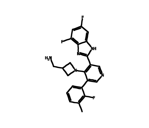 Cc1cccc(-c2cncc(-c3nc4c(F)cc(F)cc4[nH]3)c2N2CC(CN)C2)c1F